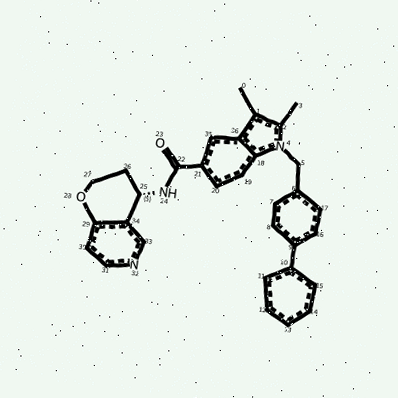 Cc1c(C)n(Cc2ccc(-c3ccccc3)cc2)c2ccc(C(=O)N[C@H]3CCOc4ccncc43)cc12